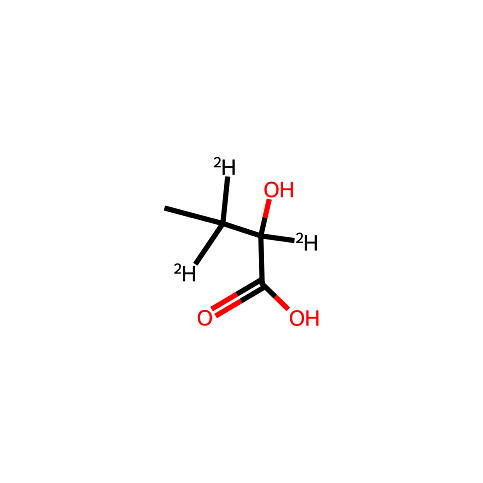 [2H]C([2H])(C)C([2H])(O)C(=O)O